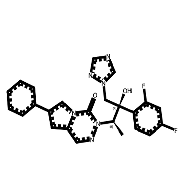 C[C@@H](n1ncc2cc(-c3ccccc3)cn2c1=O)[C@](O)(Cn1cncn1)c1ccc(F)cc1F